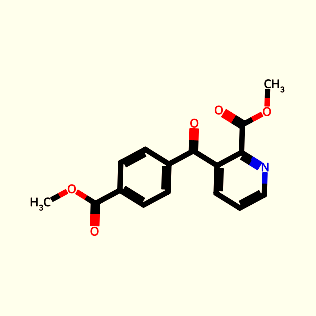 COC(=O)c1ccc(C(=O)c2cccnc2C(=O)OC)cc1